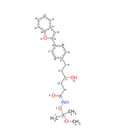 COC(C)(C)ONC(=O)CCC(O)CCc1ccc(-c2cc3ccccc3o2)cc1